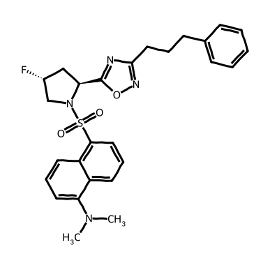 CN(C)c1cccc2c(S(=O)(=O)N3C[C@H](F)C[C@H]3c3nc(CCCc4ccccc4)no3)cccc12